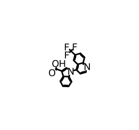 O=C(O)c1cn(-c2ccnc3ccc(C(F)(F)F)cc23)c2ccccc12